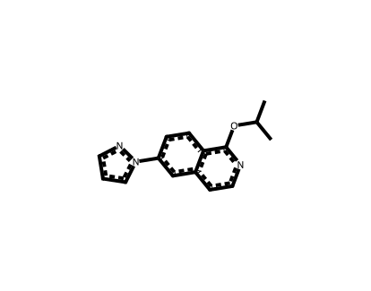 CC(C)Oc1nccc2cc(-n3cccn3)ccc12